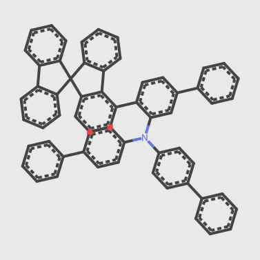 c1ccc(-c2ccc(N(c3ccc(-c4ccccc4)cc3)c3cc(-c4ccccc4)ccc3-c3cccc4c3-c3ccccc3C43c4ccccc4-c4ccccc43)cc2)cc1